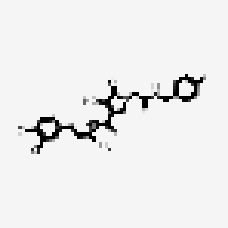 CC(CCc1ccc(Cl)c(Cl)c1)NC(=O)C1=C(O)C(=O)N(CC(=O)NCc2ccc(F)cc2)C1